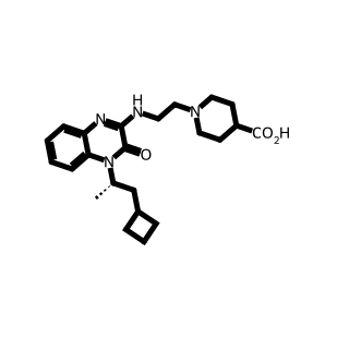 C[C@@H](CC1CCC1)n1c(=O)c(NCCN2CCC(C(=O)O)CC2)nc2ccccc21